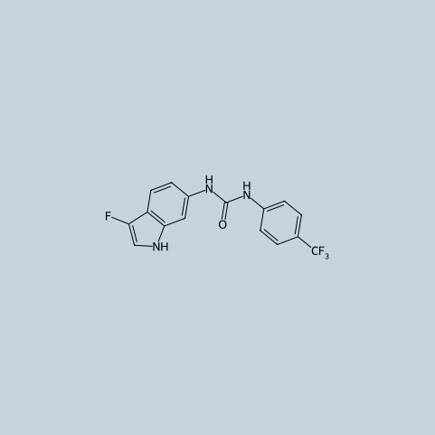 O=C(Nc1ccc(C(F)(F)F)cc1)Nc1ccc2c(F)c[nH]c2c1